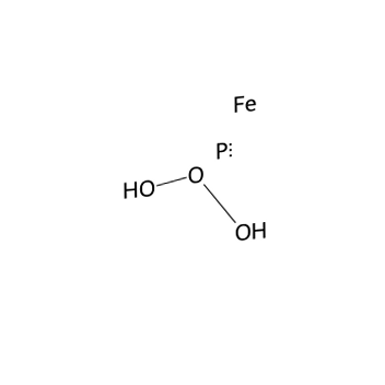 OOO.[Fe].[P]